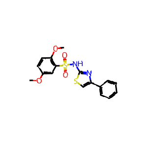 COc1ccc(OC)c(S(=O)(=O)Nc2nc(-c3ccccc3)cs2)c1